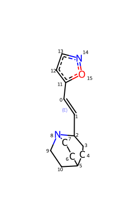 C(=C\C1CCC2CCN1CC2)/c1ccno1